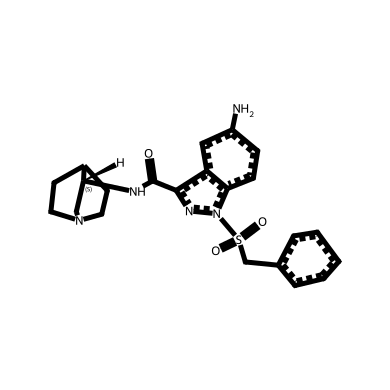 Nc1ccc2c(c1)c(C(=O)N[C@@H]1CN3CCC1CC3)nn2S(=O)(=O)Cc1ccccc1